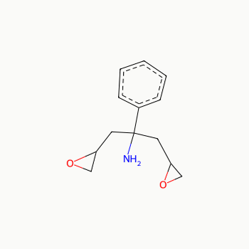 NC(CC1CO1)(CC1CO1)c1ccccc1